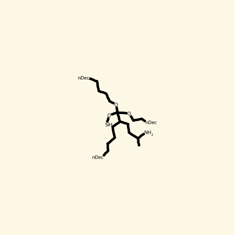 CCCCCCCCCCCCCCOC(O[SiH3])(OCCCCCCCCCCCC)C(CCCCCCCCCCCCCC)CCC(C)N